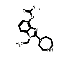 CCn1c(N2CCCNCC2)nc2c(OC(N)=O)cccc21